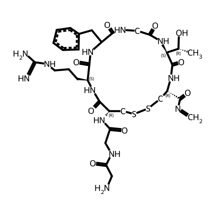 C=NC(=O)[C@@H]1CSSC[C@H](NC(=O)CNC(=O)CN)C(=O)N[C@@H](CCCNC(=N)N)C(=O)NC(Cc2ccccc2)C(=O)NCC(=O)N[C@@H]([C@@H](C)O)C(=O)N1